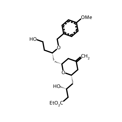 C=C1C[C@H](C[C@@H](O)CC(=O)OCC)O[C@H](C[C@H](CCO)OCc2ccc(OC)cc2)C1